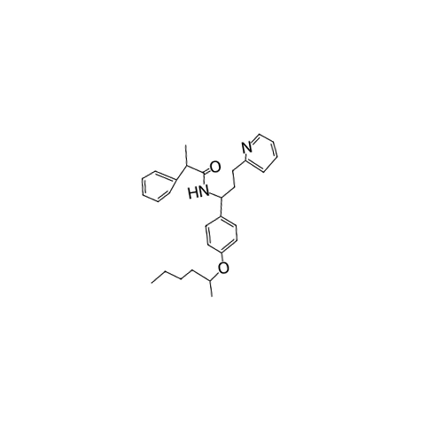 CCCCC(C)Oc1ccc(C(CCc2ccccn2)NC(=O)C(C)c2ccccc2)cc1